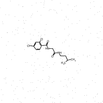 CC(C)C[CH]NC(=O)CNC(=O)c1ccc(Cl)cc1Cl